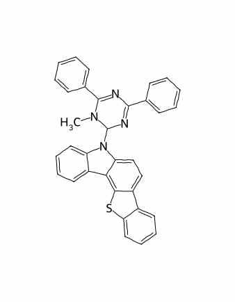 CN1C(c2ccccc2)=NC(c2ccccc2)=NC1n1c2ccccc2c2c3sc4ccccc4c3ccc21